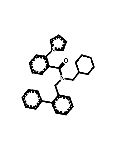 O=C(c1ccccc1-n1cccc1)N(Cc1ccccc1-c1ccccc1)CC1CCCCC1